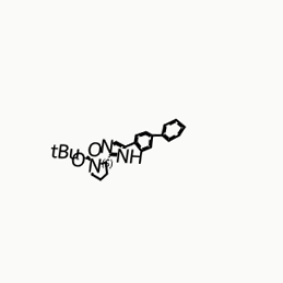 CC(C)(C)OC(=O)N1CCC[C@H]1c1ncc(-c2ccc(-c3ccccc3)cc2)[nH]1